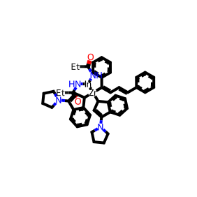 CCC(=O)[NH][In]([NH]C(=O)CC)[Zr]([C](=CC=Cc1ccccc1)c1ccccc1)([CH]1C=C(N2CCCC2)c2ccccc21)[CH]1C=C(N2CCCC2)c2ccccc21